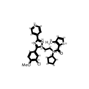 COc1ccc(-c2nc(-c3ccncc3)nn2CCN(C(=O)c2sccc2C)C2CCCC2)cc1Cl